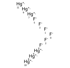 [F-].[F-].[F-].[F-].[F-].[F-].[Hg+].[Hg+].[Hg+].[Hg+].[Hg+].[Hg+]